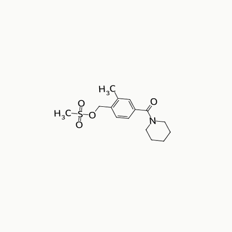 Cc1cc(C(=O)N2CCCCC2)ccc1COS(C)(=O)=O